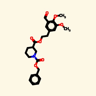 COc1cc(CCOC(=O)C2CCCN(C(=O)OCc3ccccc3)C2)cc(C=O)c1OC